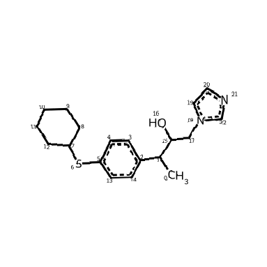 CC(c1ccc(SC2CCCCC2)cc1)C(O)Cn1ccnc1